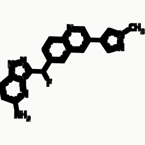 Cn1cc(-c2cnc3ccc(C(F)c4nnc5ccc(N)nn45)cc3c2)cn1